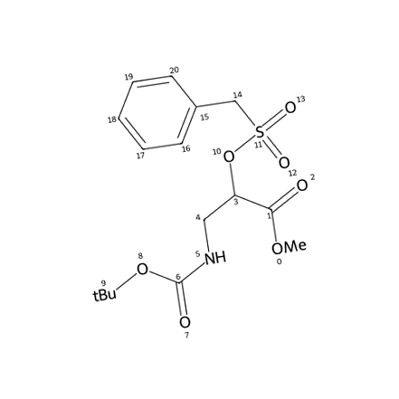 COC(=O)C(CNC(=O)OC(C)(C)C)OS(=O)(=O)Cc1ccccc1